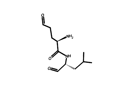 CC(C)C[C@H](C=O)NC(=O)[C@H](N)CCC=O